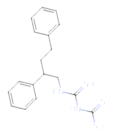 N=C(N)NC(=N)NCC(CCc1ccccc1)c1ccccc1